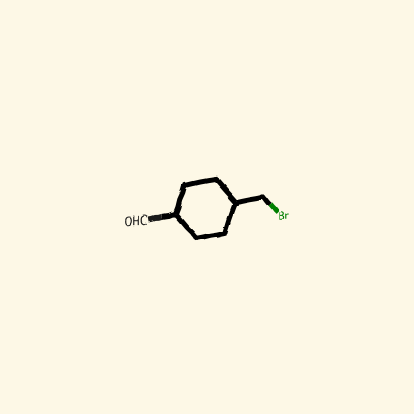 O=CC1CCC(CBr)CC1